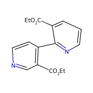 CCOC(=O)c1cnccc1-c1ncccc1C(=O)OCC